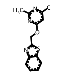 Cc1nc(Cl)cc(OCc2nc3ccccc3s2)n1